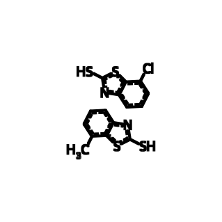 Cc1cccc2nc(S)sc12.Sc1nc2cccc(Cl)c2s1